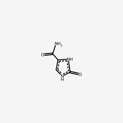 NC(=O)c1c[nH]c(=O)[nH]1